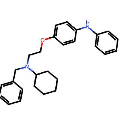 c1ccc(CN(CCOc2ccc(Nc3ccccc3)cc2)C2CCCCC2)cc1